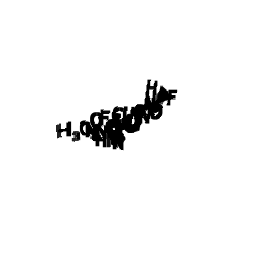 CN1CCN(c2c(F)c(Cl)c(-c3ccc4nc(NC(=O)[C@@H]5C[C@@H]5F)cn4c3)c3cn[nH]c23)C1=O